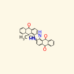 CC1(C)c2c(ccc3[nH]c4c(ccc5c(=O)c6ccccc6c(=O)c54)[nH]c23)C(=O)C2C=CC=CC21